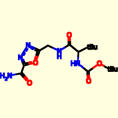 CC(C)(C)OC(=O)NC(C(=O)NCc1nnc(C(N)=O)o1)C(C)(C)C